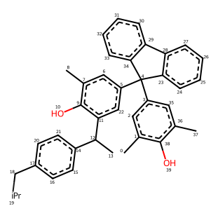 Cc1cc(C2(c3cc(C)c(O)c(C(C)c4ccc(CC(C)C)cc4)c3)c3ccccc3-c3ccccc32)cc(C)c1O